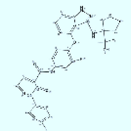 CC(C)(O)C1(Nc2n[nH]c3nccc(Oc4ccc(NC(=O)c5ccnn(-c6ccc(F)cc6)c5=O)cc4F)c23)CCCC1